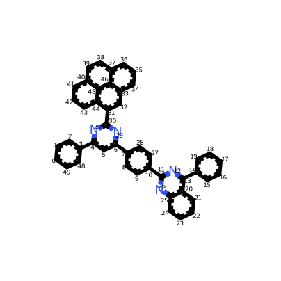 c1ccc(-c2cc(-c3ccc(-c4nc(-c5ccccc5)c5ccccc5n4)cc3)nc(-c3cc4cccc5ccc6cccc3c6c54)n2)cc1